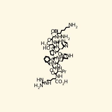 CC(C)[C@H](NC(=O)[C@H](Cc1ccccc1)NC(=O)[C@H](Cc1c[nH]cn1)NC(=O)[C@@H]1CCCN1C(=O)[C@H](Cc1c[nH]cn1)NC(=O)[C@@H](NC(=O)[C@H](CO)NC(=O)[C@@H](N)CCCCN)[C@@H](C)O)C(=O)N[C@@H](CCCNC(=N)N)C(=O)O